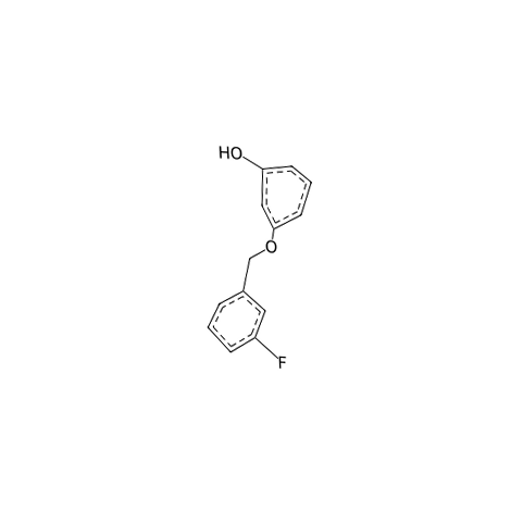 Oc1cccc(OCc2cccc(F)c2)c1